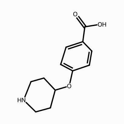 O=C(O)c1ccc(OC2CCNCC2)cc1